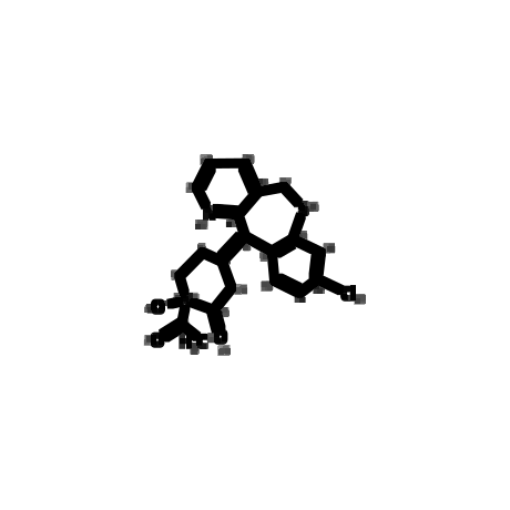 CC(=O)[N+]1([O-])CCC(=C2c3ccc(Cl)cc3SCc3cccnc32)CC1=O